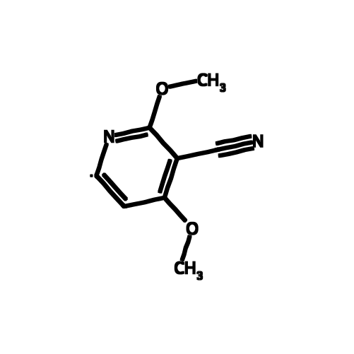 COc1c[c]nc(OC)c1C#N